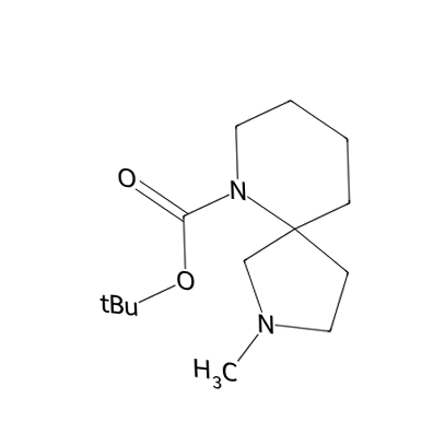 CN1CCC2(CCCCN2C(=O)OC(C)(C)C)C1